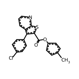 Cc1ccc(OC(=O)c2sc3ncccc3c2-c2ccc(Cl)cc2)cc1